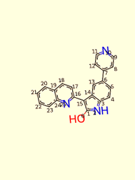 Oc1[nH]c2ccc(-c3ccncc3)cc2c1-c1ccc2ccccc2n1